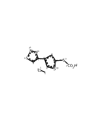 CCC.O=C(O)Sc1cc(-c2csnn2)cs1